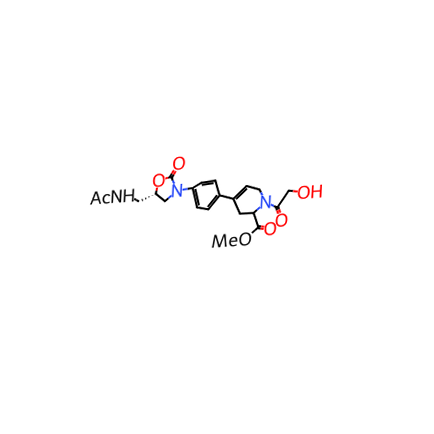 COC(=O)C1CC(c2ccc(N3C[C@H](CNC(C)=O)OC3=O)cc2)=CCN1C(=O)CO